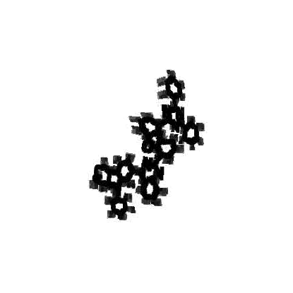 c1ccc(-c2nc(-c3ccccc3)nc(-c3cccc4oc5c(-c6nc(-c7ccc8c9ccccc9n(-c9ccccc9)c8c7)c7ccccc7n6)cccc5c34)n2)cc1